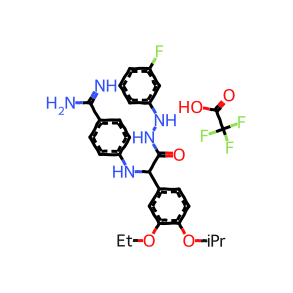 CCOc1cc(C(Nc2ccc(C(=N)N)cc2)C(=O)NNc2cccc(F)c2)ccc1OC(C)C.O=C(O)C(F)(F)F